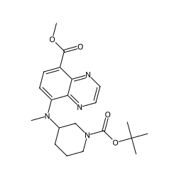 COC(=O)c1ccc(N(C)C2CCCN(C(=O)OC(C)(C)C)C2)c2nccnc12